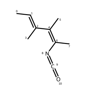 C/C=C(C)/C(C)=C(/C)N=C=O